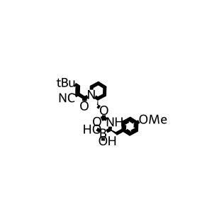 COc1ccc(C[C@H](NC(=O)OC[C@H]2CCCCN2C(=O)C(C#N)=CC(C)(C)C)B(O)O)cc1